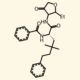 CCC1OCC(=O)C1NC(=O)[C@H](CC(C)(C)CCc1ccccc1)NC(=O)c1ccccc1